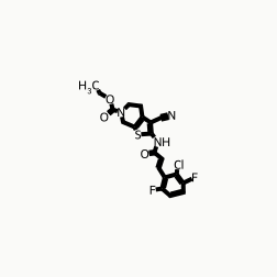 CCOC(=O)N1CCc2c(sc(NC(=O)C=Cc3c(F)ccc(F)c3Cl)c2C#N)C1